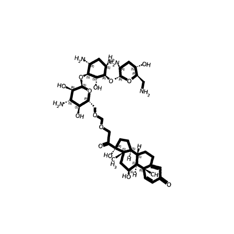 C[C@]12C=CC(=O)C=C1CC[C@@H]1[C@@H]2[C@@H](O)C[C@@]2(C)[C@H]1CC[C@]2(O)C(=O)COCOC[C@H]1O[C@H](O[C@@H]2[C@@H](O)[C@H](O[C@H]3O[C@H](CN)[C@@H](O)C[C@H]3N)[C@@H](N)C[C@H]2N)[C@H](O)[C@@H](N)[C@@H]1O